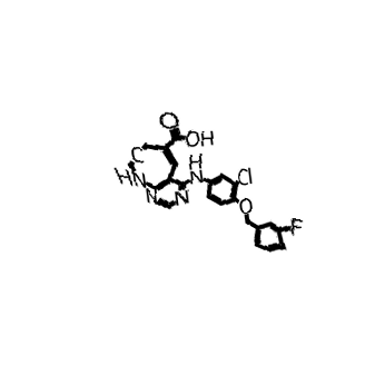 O=C(O)C1=Cc2c(ncnc2Nc2ccc(OCc3cccc(F)c3)c(Cl)c2)NCCC1